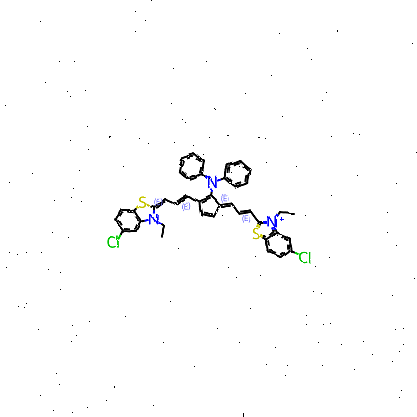 CCN1/C(=C\C=C\C2=C(N(c3ccccc3)c3ccccc3)C(=C/C=C/c3sc4ccc(Cl)cc4[n+]3CC)/C=C2)Sc2ccc(Cl)cc21